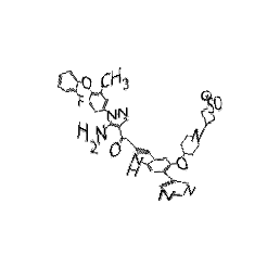 Cc1cc(-n2ncc(C(=O)c3cc4cc(OC5CCN(C6CS(=O)(=O)C6)CC5)c(-c5cncnc5)cc4[nH]3)c2N)ccc1Oc1ccccc1F